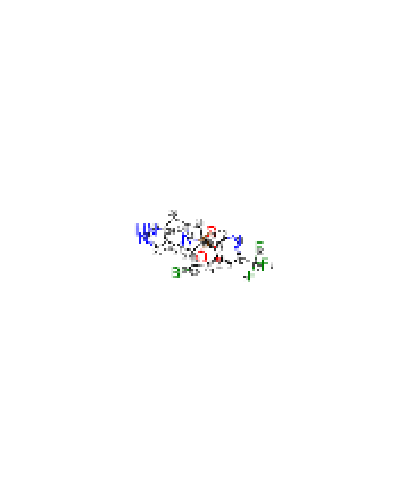 O=S(=O)(c1ccc(C(F)(F)F)nc1)N1C2Cc3cccc(Br)c3C1c1cn[nH]c1C2